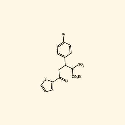 CCOC(=O)C(C(CC(=O)c1cccs1)c1ccc(Br)cc1)[N+](=O)[O-]